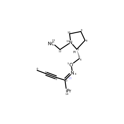 CC#C/C(=N\OC[C@H]1CCCN1CC#N)C(C)C